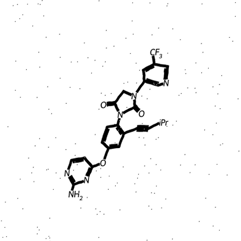 CC(C)C#Cc1cc(Oc2ccnc(N)n2)ccc1N1C(=O)CN(c2cncc(C(F)(F)F)c2)C1=O